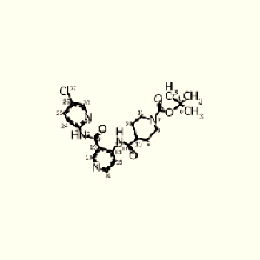 CC(C)(C)OC(=O)N1CCC(C(=O)Nc2ccncc2C(=O)Nc2ccc(Cl)cn2)CC1